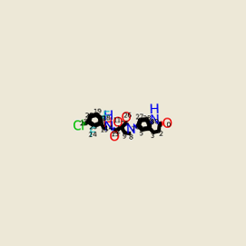 O=C1CCc2cc(N3CCC(O)(C(=O)NCc4c(F)ccc(Cl)c4F)C3=O)ccc2N1